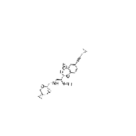 Cc1cc(C#CC2CC2)ccc1OC(=O)/C(=C/NCC1OCC2(CC2)CO1)N=N